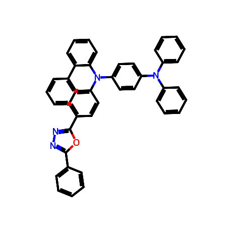 c1ccc(-c2nnc(-c3ccc(N(c4ccc(N(c5ccccc5)c5ccccc5)cc4)c4ccccc4-c4ccccc4)cc3)o2)cc1